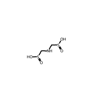 O=S(O)CNCS(=O)O